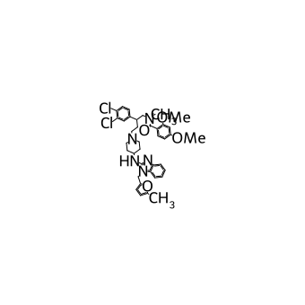 COc1ccc(C(=O)N(C)CC(CCN2CCC(Nc3nc4ccccc4n3Cc3ccc(C)o3)CC2)c2ccc(Cl)c(Cl)c2)c(OC)c1